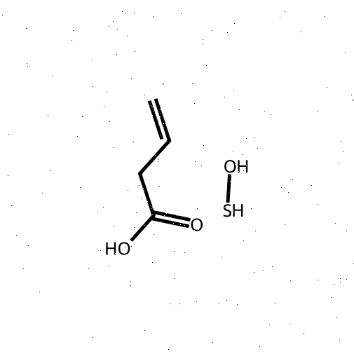 C=CCC(=O)O.OS